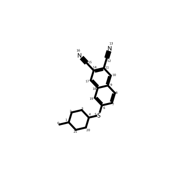 CC1CCC(Sc2ccc3cc(C#N)c(C#N)cc3c2)CC1